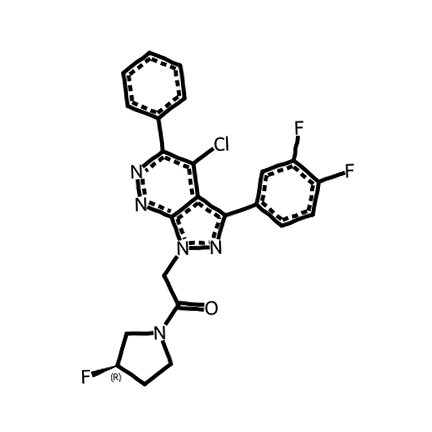 O=C(Cn1nc(-c2ccc(F)c(F)c2)c2c(Cl)c(-c3ccccc3)nnc21)N1CC[C@@H](F)C1